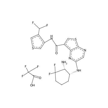 N[C@@H]1[C@H](Nc2cnc3scc(C(=O)Nc4cscc4C(F)F)c3n2)CCCC1(F)F.O=C(O)C(F)(F)F